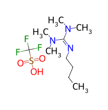 CCCCN=C(N(C)C)N(C)C.O=S(=O)(O)C(F)(F)F